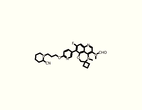 CN(C=O)c1cnc2cc(F)c(-c3ccc(OCCCN4CCCCC4C#N)nc3)c3c2c1N(C)C1(CCC1)CO3